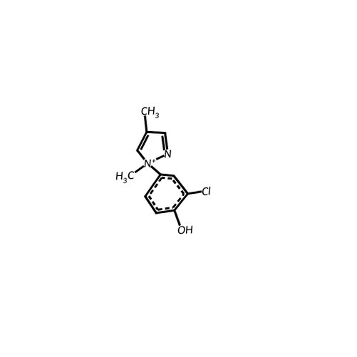 CC1=C[N+](C)(c2ccc(O)c(Cl)c2)N=C1